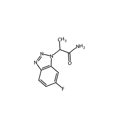 CC(C(N)=O)n1nnc2ccc(F)cc21